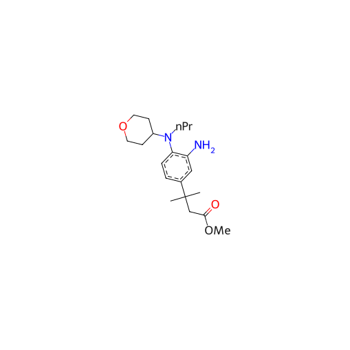 CCCN(c1ccc(C(C)(C)CC(=O)OC)cc1N)C1CCOCC1